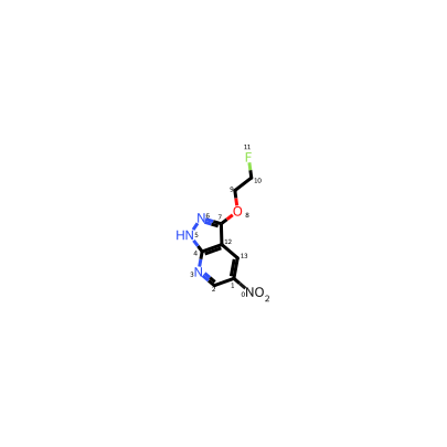 O=[N+]([O-])c1cnc2[nH]nc(OCCF)c2c1